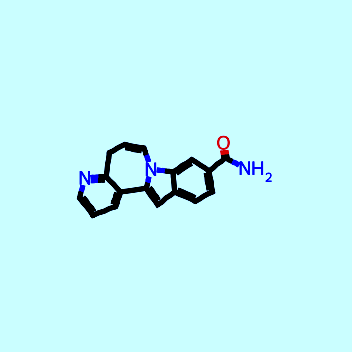 NC(=O)c1ccc2cc3n(c2c1)C=CCc1ncccc1-3